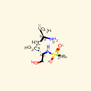 CCCCS(=O)(=O)N[C@H](CO)C(=O)O.C[C@H](N)C(=O)O